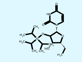 CC[C@H]1O[C@@H](n2ccc(=O)[nH]c2=O)C(O[Si](C(C)C)(C(C)C)C(C)C)[C@H]1O